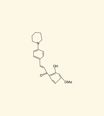 COc1ccc(C(=O)C=Cc2ccc(N3CCCCC3)cc2)c(O)c1